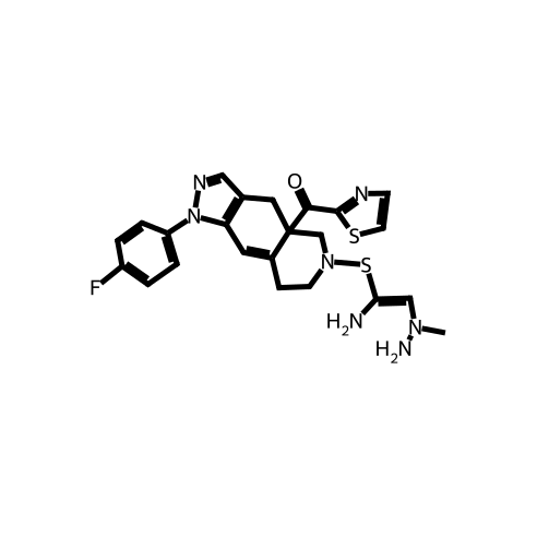 CN(N)/C=C(\N)SN1CCC2=Cc3c(cnn3-c3ccc(F)cc3)CC2(C(=O)c2nccs2)C1